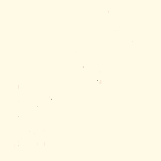 COC(=O)c1cc(N)c(SC[C@H](NC(=O)OC(C)(C)C)C(=O)O)cc1F